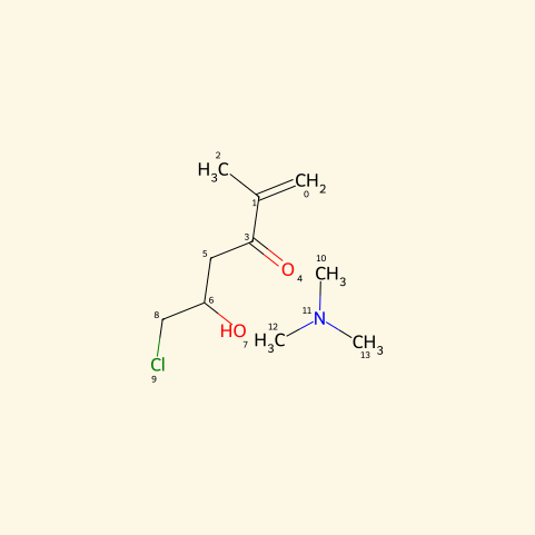 C=C(C)C(=O)CC(O)CCl.CN(C)C